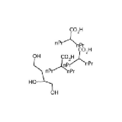 CCCC(CCC)C(=O)O.CCCC(CCC)C(=O)O.CCCC(CCC)C(=O)O.OCCC(O)CO